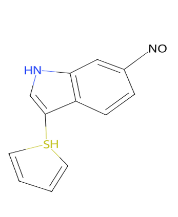 O=Nc1ccc2c([SH]3C=CC=C3)c[nH]c2c1